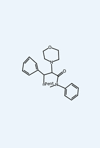 CCCCCC(c1ccccc1)C(C(=O)N(C)c1ccccc1)N1CCOCC1